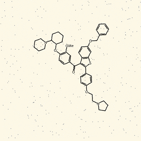 COc1cc(C(=O)c2c(-c3ccc(OCCN4CCCC4)cc3)sc3cc(OCc4ccccc4)ccc23)ccc1OC1CCCCC1N1CCCCC1